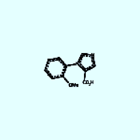 COc1ccccc1-n1cncc1C(=O)O